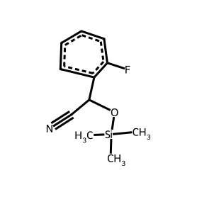 C[Si](C)(C)OC(C#N)c1ccccc1F